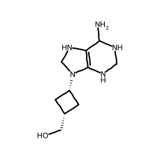 NC1NCNC2=C1NCN2[C@H]1C[C@@H](CO)C1